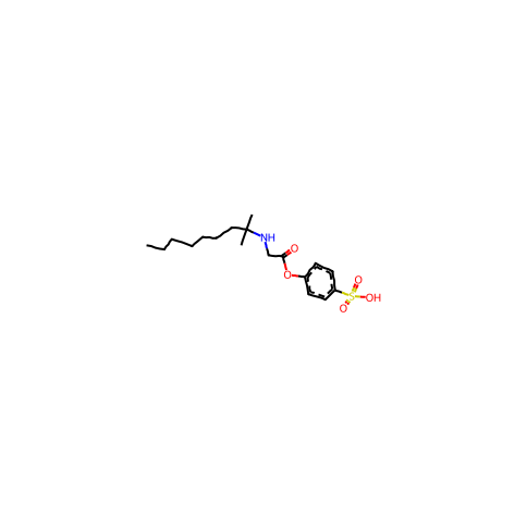 CCCCCCCC(C)(C)NCC(=O)Oc1ccc(S(=O)(=O)O)cc1